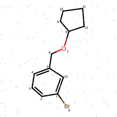 Brc1cccc(COC2CCCC2)c1